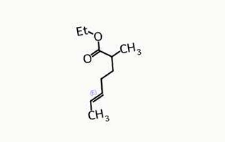 C/C=C/CCC(C)C(=O)OCC